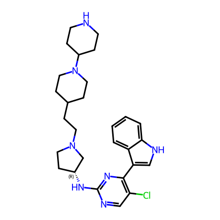 Clc1cnc(N[C@@H]2CCN(CCC3CCN(C4CCNCC4)CC3)C2)nc1-c1c[nH]c2ccccc12